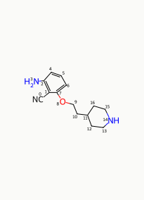 N#Cc1c(N)cccc1OCCC1CCNCC1